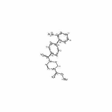 CC(C)(C)OC(=O)N1CCN(C(=O)c2ccc(-c3ccncc3N)cc2)CC1